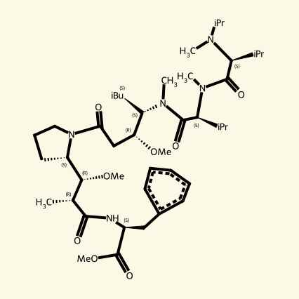 CC[C@H](C)[C@@H]([C@@H](CC(=O)N1CCC[C@H]1[C@H](OC)[C@@H](C)C(=O)N[C@@H](Cc1ccccc1)C(=O)OC)OC)N(C)C(=O)[C@H](C(C)C)N(C)C(=O)[C@H](C(C)C)N(C)C(C)C